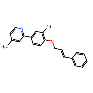 Cc1ccnc(-c2ccc(OC/C=C/c3ccccc3)c(C#N)c2)c1